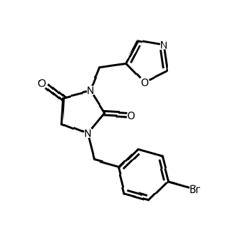 O=C1CN(Cc2ccc(Br)cc2)C(=O)N1Cc1cnco1